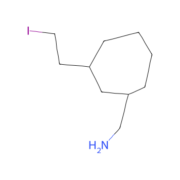 NCC1CCCCC(CCI)C1